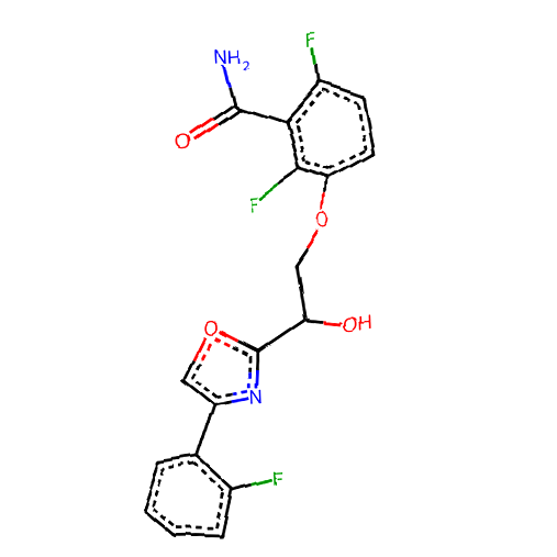 NC(=O)c1c(F)ccc(OCC(O)c2nc(-c3ccccc3F)co2)c1F